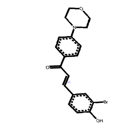 O=C(/C=C/c1ccc(O)c(Br)c1)c1ccc(N2CCOCC2)cc1